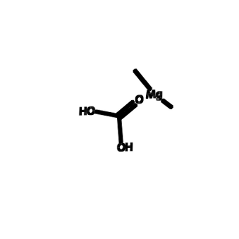 O=C(O)O.[CH3][Mg][CH3]